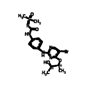 C[C@@H](O)[C@@H](C)Oc1nc(Nc2ccc(NC(=O)N=S(C)(C)=O)cc2)ncc1Br